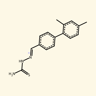 Cc1ccc(-c2ccc(/C=N/NC(N)=S)cc2)c(C)c1